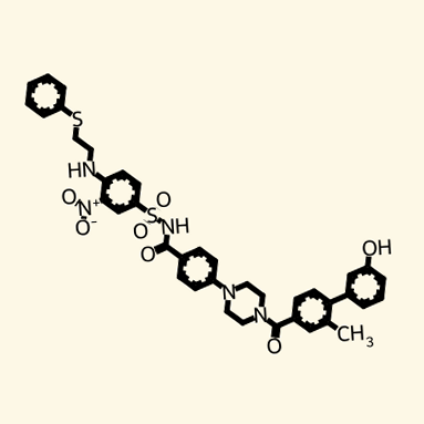 Cc1cc(C(=O)N2CCN(c3ccc(C(=O)NS(=O)(=O)c4ccc(NCCSc5ccccc5)c([N+](=O)[O-])c4)cc3)CC2)ccc1-c1cccc(O)c1